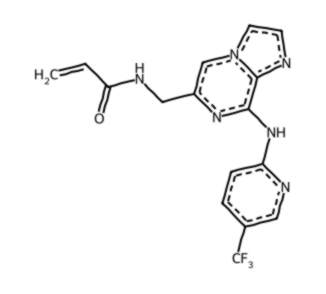 C=CC(=O)NCc1cn2ccnc2c(Nc2ccc(C(F)(F)F)cn2)n1